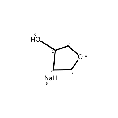 OC1CCOC1.[NaH]